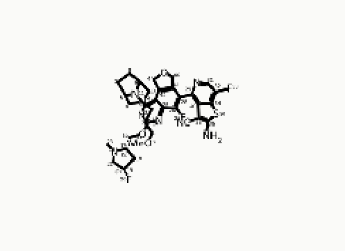 COCCCN1CC2CCC(C1)N2c1nc(OC[C@@H]2C[C@@H](F)CN2C)nc2c(F)c(-c3ncc(F)c4sc(N)c(C#N)c34)c3c(c12)COC3